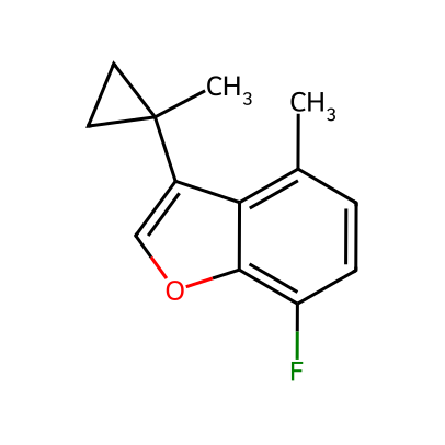 Cc1ccc(F)c2occ(C3(C)CC3)c12